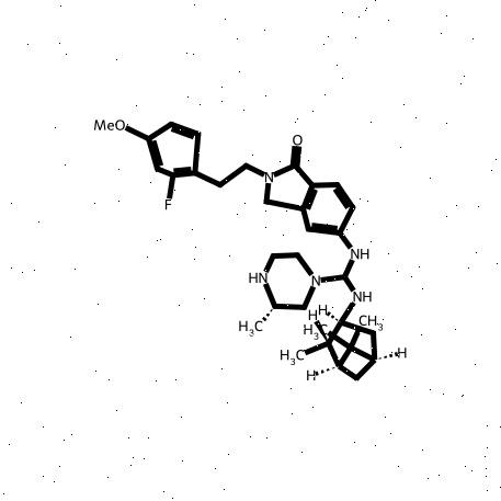 COc1ccc(CCN2Cc3cc(NC(N[C@H]4C[C@H]5C[C@@H]([C@@H]4C)C5(C)C)N4CCN[C@@H](C)C4)ccc3C2=O)c(F)c1